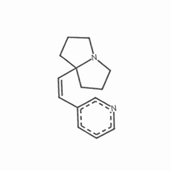 C(=C/C12CCCN1CCC2)/c1cccnc1